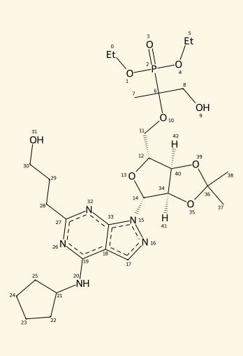 CCOP(=O)(OCC)C(C)(CO)OC[C@H]1O[C@@H](n2ncc3c(NC4CCCC4)nc(CCCO)nc32)[C@@H]2OC(C)(C)O[C@@H]21